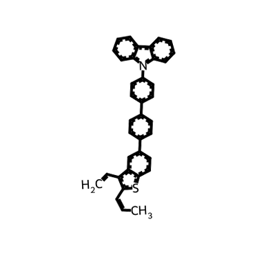 C=Cc1c(/C=C\C)sc2ccc(-c3ccc(-c4ccc(-n5c6ccccc6c6ccccc65)cc4)cc3)cc12